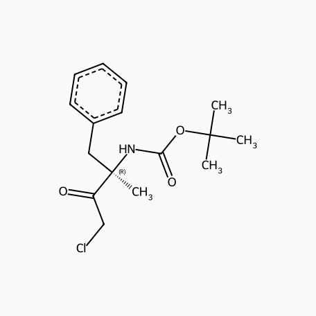 CC(C)(C)OC(=O)N[C@](C)(Cc1ccccc1)C(=O)CCl